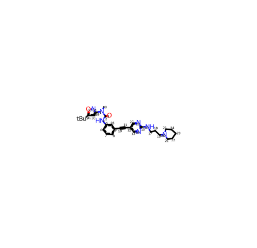 CN(C(=O)Nc1cccc(C#Cc2cnc(NCCCN3CCCCC3)nc2)c1)c1cc(C(C)(C)C)on1